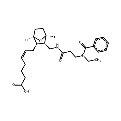 CCN(CCC(=O)NC[C@H]1[C@@H](C/C=C\CCCC(=O)O)[C@H]2CC[C@@H]1O2)C(=O)c1ccccc1